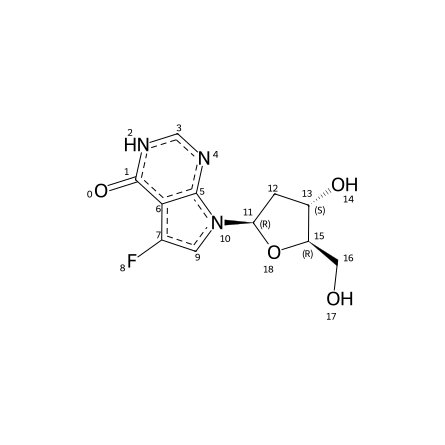 O=c1[nH]cnc2c1c(F)cn2[C@H]1C[C@H](O)[C@@H](CO)O1